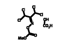 COC(=O)ON=C(C(Cl)Cl)C(Cl)Cl.O=C(O)O